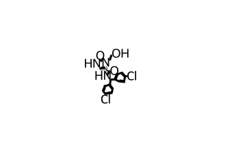 O=C(NC(c1ccc(Cl)cc1)c1ccc(Cl)cc1)[C@H]1CNC(=O)N1CCO